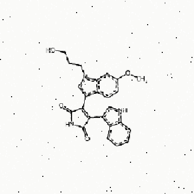 COc1ccc2c(C3=C(c4c[nH]c5ccccc45)C(=O)NC3=O)cn(CCCO)c2c1